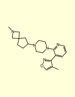 Cc1conc1-c1cccnc1N1CCN(C2CCC3(C2)CN(C)C3)CC1